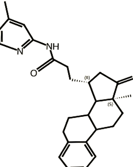 C=C1C[C@@H](CCC(=O)Nc2cc(C)ccn2)C2C3CCc4ccccc4C3CC[C@]12C